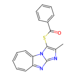 Cc1nc2nc3cccccc3n2c1SC(=O)c1ccccc1